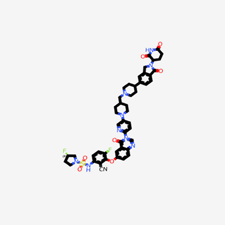 N#Cc1c(NS(=O)(=O)N2CC[C@@H](F)C2)ccc(F)c1Oc1ccc2ncn(-c3ccc(N4CCC(CN5CCC(c6ccc7c(c6)CN(C6CCC(=O)NC6=O)C7=O)CC5)CC4)cn3)c(=O)c2c1